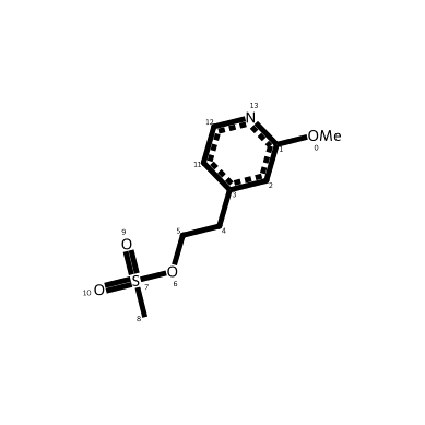 COc1cc(CCOS(C)(=O)=O)ccn1